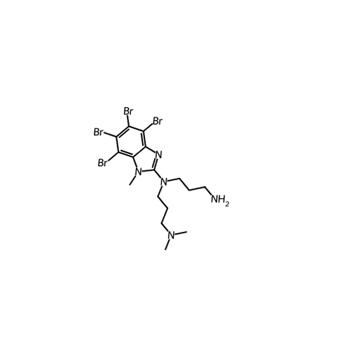 CN(C)CCCN(CCCN)c1nc2c(Br)c(Br)c(Br)c(Br)c2n1C